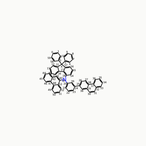 c1ccc(C2(c3ccccc3)c3ccccc3-c3c(N(c4cccc(-c5ccc6c(ccc7ccccc76)c5)c4)c4cc5ccccc5c5ccccc45)cccc32)cc1